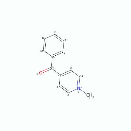 C[n+]1ccc(C(=O)c2ccccc2)cc1